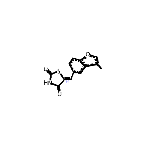 Cc1coc2ccc(/C=C3\SC(=O)NC3=O)cc12